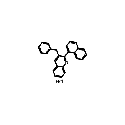 Cl.c1ccc(Cc2cc3ccccc3nc2-c2cccc3ccccc23)cc1